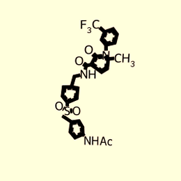 CC(=O)Nc1ccc(CS(=O)(=O)c2ccc(CNC(=O)c3ccc(C)n(-c4cccc(C(F)(F)F)c4)c3=O)cc2)cc1